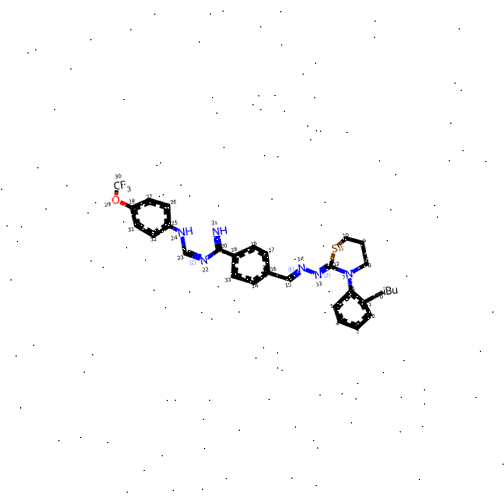 CCC(C)c1ccccc1N1CCCS/C1=N\N=C\c1ccc(C(=N)/N=C\Nc2ccc(OC(F)(F)F)cc2)cc1